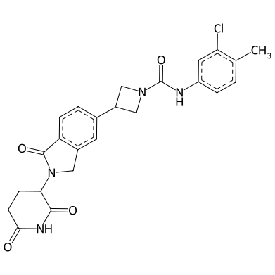 Cc1ccc(NC(=O)N2CC(c3ccc4c(c3)CN(C3CCC(=O)NC3=O)C4=O)C2)cc1Cl